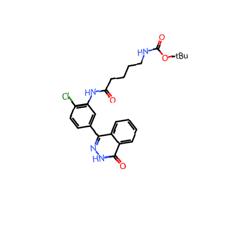 CC(C)(C)OC(=O)NCCCCC(=O)Nc1cc(-c2n[nH]c(=O)c3ccccc23)ccc1Cl